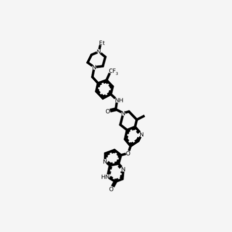 CCN1CCN(Cc2ccc(NC(=O)N3Cc4cc(Oc5ccnc6[nH]c(=O)cnc56)cnc4C(C)C3)cc2C(F)(F)F)CC1